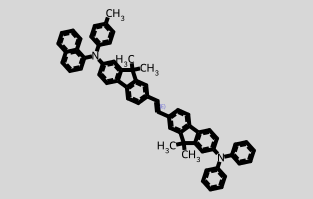 Cc1ccc(N(c2ccc3c(c2)C(C)(C)c2cc(/C=C/c4ccc5c(c4)C(C)(C)c4cc(N(c6ccccc6)c6ccccc6)ccc4-5)ccc2-3)c2cccc3ccccc23)cc1